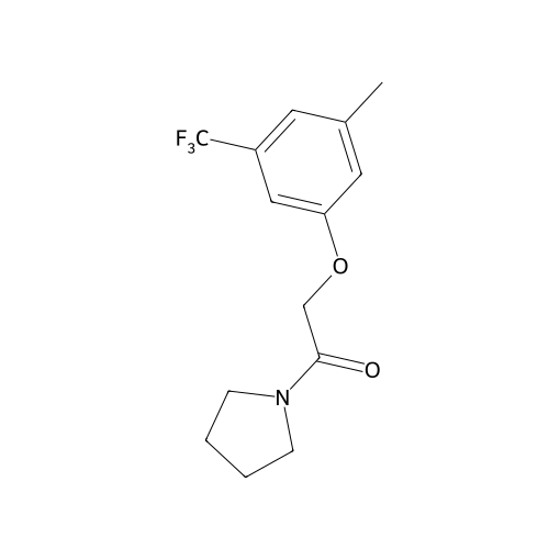 Cc1cc(OCC(=O)N2CCCC2)cc(C(F)(F)F)c1